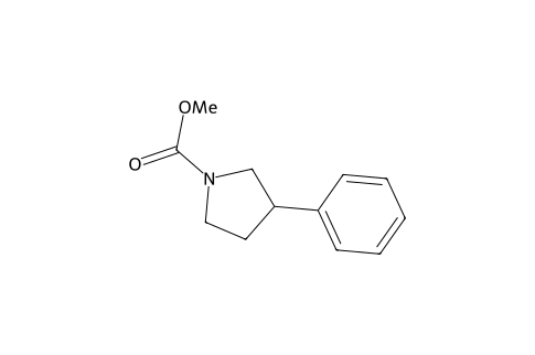 COC(=O)N1CCC(c2ccccc2)C1